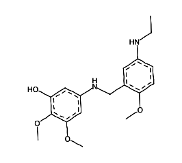 CCNc1ccc(OC)c(CNc2cc(O)c(OC)c(OC)c2)c1